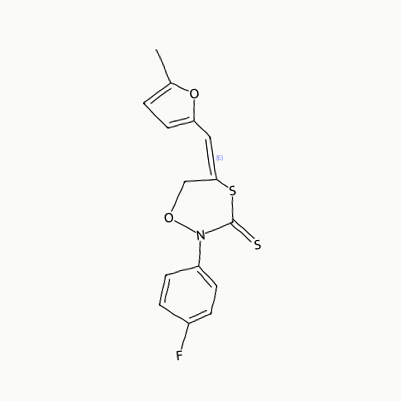 Cc1ccc(/C=C2\CON(c3ccc(F)cc3)C(=S)S2)o1